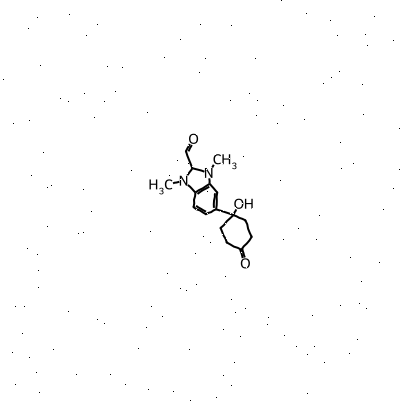 CN1c2ccc(C3(O)CCC(=O)CC3)cc2N(C)C1C=O